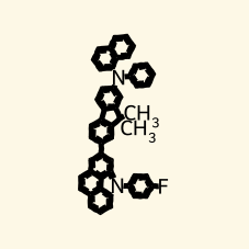 CC1(C)c2cc(-c3cc4ccc5cccc6c5c4c(c3)n6-c3ccc(F)cc3)ccc2-c2ccc(N(c3ccccc3)c3cccc4ccccc34)cc21